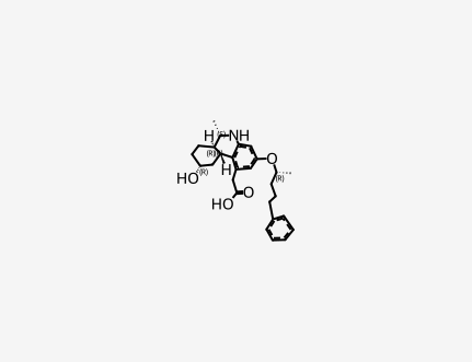 C[C@H](CCCc1ccccc1)Oc1cc(CC(=O)O)c2c(c1)N[C@@H](C)[C@@H]1CC[C@@H](O)C[C@@H]21